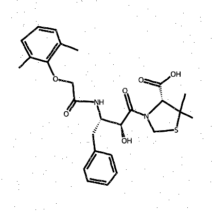 Cc1cccc(C)c1OCC(=O)N[C@@H](Cc1ccccc1)[C@H](O)C(=O)N1CSC(C)(C)[C@H]1C(=O)O